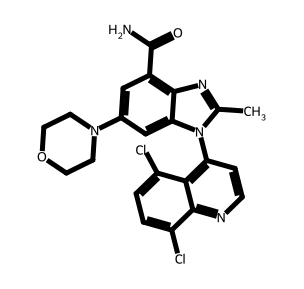 Cc1nc2c(C(N)=O)cc(N3CCOCC3)cc2n1-c1ccnc2c(Cl)ccc(Cl)c12